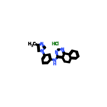 Cc1cn(-c2cccc(Nc3ncnc4c3CCc3ccccc3-4)c2)cn1.Cl